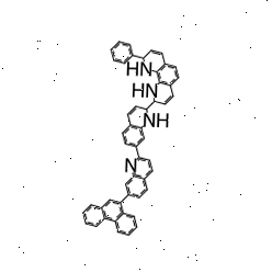 C1=CC(C2C=Cc3ccc4c(c3N2)NC(c2ccccc2)C=C4)Nc2cc(-c3ccc4ccc(-c5cc6ccccc6c6ccccc56)cc4n3)ccc21